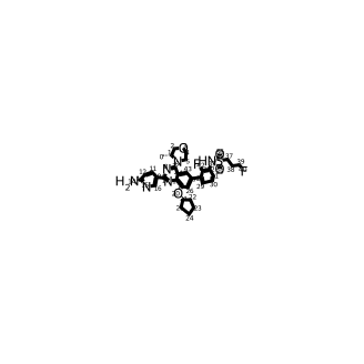 C[C@@H]1COCCN1c1nc(-c2ccc(N)nc2)nc2c(OC3CCCC3)cc(-c3cccc(NS(=O)(=O)CCCF)c3F)cc12